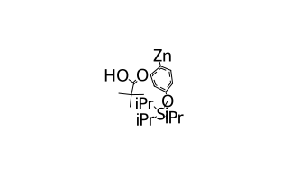 CC(C)(C)C(=O)O.CC(C)[Si](Oc1cc[c]([Zn])cc1)(C(C)C)C(C)C